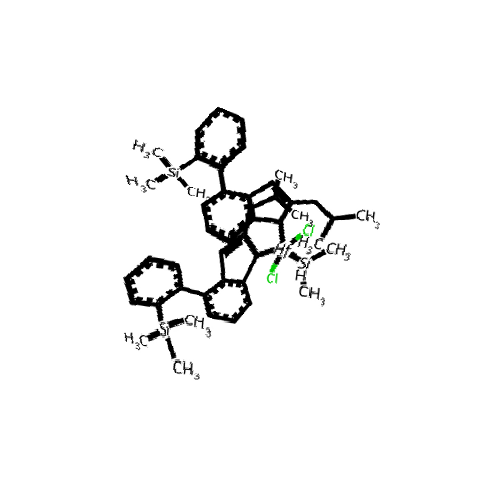 CC(C)CC1=Cc2c(-c3ccccc3[Si](C)(C)C)cccc2[CH]1[Hf]([Cl])([Cl])([CH]1C(CC(C)C)=Cc2c(-c3ccccc3[Si](C)(C)C)cccc21)[SiH](C)C